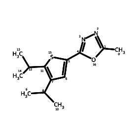 Cc1nnc(-c2cc(C(C)C)c(C(C)C)s2)o1